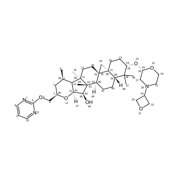 C[C@@H]1C[C@H](COc2ncccn2)O[C@H]2C1[C@@]1(C)CC[C@@]34C[C@@]35CC[C@H](O[C@H]3CN(C6COC6)CCO3)C(C)(C)[C@@H]5CC[C@H]4[C@]1(C)[C@H]2O